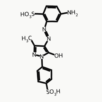 Cc1nn(-c2ccc(S(=O)(=O)O)cc2)c(O)c1/N=N/c1cc(N)ccc1S(=O)(=O)O